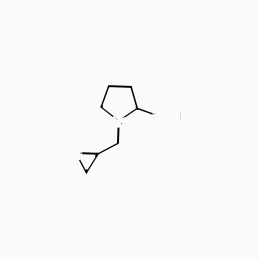 O=C(O)C1CCCN1CC1CO1